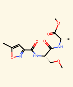 COC[C@H](NC(=O)c1cc(C)on1)C(=O)N[C@@H](C)C(=O)OC